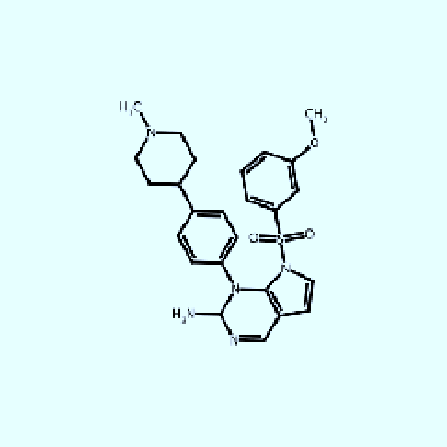 COc1cccc(S(=O)(=O)n2ccc3c2N(c2ccc(C4CCN(C)CC4)cc2)C(N)N=C3)c1